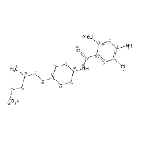 COc1cc(N)c(Cl)cc1C(=O)NC1CCN(CCC(C)CCC(=O)O)CC1